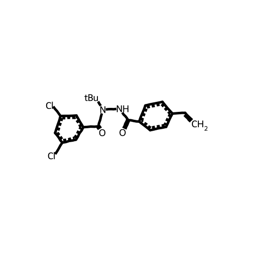 C=Cc1ccc(C(=O)NN(C(=O)c2cc(Cl)cc(Cl)c2)C(C)(C)C)cc1